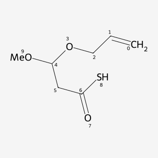 C=CCOC(CC(=O)S)OC